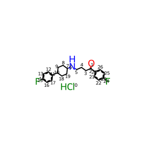 Cl.O=C(CCCNC1CCC(c2ccc(F)cc2)CC1)c1ccc(F)cc1